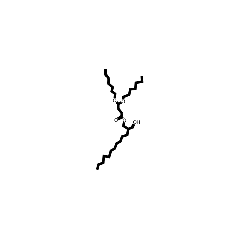 C[CH]CCCCCCCCCC(CO)COC(=O)CCC(OCCCCCCC)OCCCCCCC